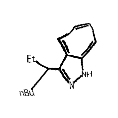 CCCCC(CC)c1n[nH]c2ccccc12